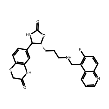 O=C1CSc2ccc(C3NC(=O)O[C@@H]3CCCNCc3c(F)ccc4ncccc34)cc2N1